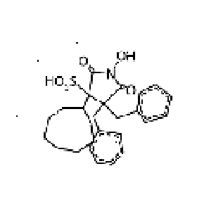 O=C1N(O)C(=O)C(C2CCCCCCC2)(S(=O)(=O)O)C1(Cc1ccccc1)Cc1ccccc1